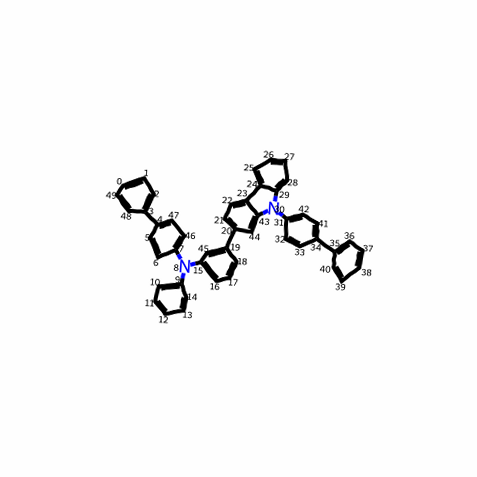 c1ccc(-c2ccc(N(c3ccccc3)c3cccc(-c4ccc5c6ccccc6n(-c6ccc(-c7ccccc7)cc6)c5c4)c3)cc2)cc1